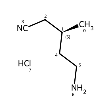 C[C@H](CC#N)CCN.Cl